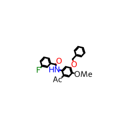 COc1cc(C(C)=O)c(NC(=O)c2cccc(F)c2)cc1OCc1ccccc1